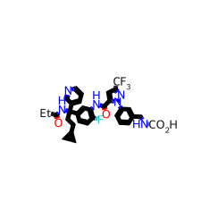 CCC(=O)NC(CCC1CC1)(c1cccnc1)c1ccc(F)c(NC(=O)c2cc(C(F)(F)F)nn2-c2cccc(CNC(=O)O)c2)c1